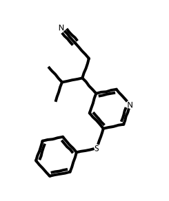 CC(C)C(CC#N)c1cncc(Sc2ccccc2)c1